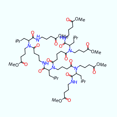 COC(=O)CCCNC(=O)C(CC(C)C)N(CCCC(=O)OC)C(=O)CCCNC(=O)C(CC(C)C)N(CCCC(=O)N(CCCC(=O)OC)C(CC(C)C)C(=O)NCCCC(=O)OC)C(=O)CCCC(=O)N(CCCC(=O)OC)C(CC(C)C)C(=O)NCCCC(=O)OC